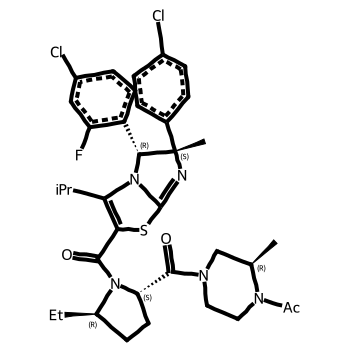 CC[C@@H]1CC[C@@H](C(=O)N2CCN(C(C)=O)[C@H](C)C2)N1C(=O)C1=C(C(C)C)N2C(=N[C@@](C)(c3ccc(Cl)cc3)[C@H]2c2ccc(Cl)cc2F)S1